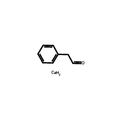 O=CCc1ccccc1.[CaH2]